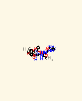 CCCC(NC(=O)C1C[C@@H](NS(=O)(=O)c2ccc(OC)cc2)CN1C(=O)[C@@H](NC(=O)OCC(C)C)C1CCCCC1)C(=O)C(=O)NCC(=O)N[C@H](C(N)=O)c1ccccc1